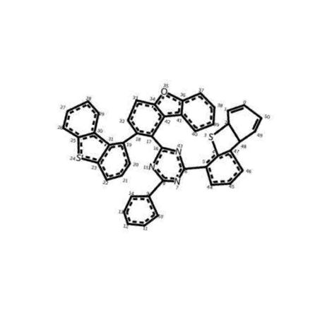 C1=CC2Sc3c(-c4nc(-c5ccccc5)nc(-c5c(-c6cccc7sc8ccccc8c67)ccc6oc7ccccc7c56)n4)cccc3C2C=C1